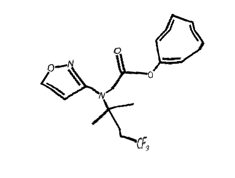 CC(C)(CC(F)(F)F)N(C(=O)Oc1ccccc1)c1ccon1